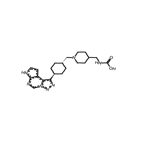 O=C(O)NCC1CCN(C[C@H]2CC[C@H](c3nnn4cnc5[nH]ccc5c34)CC2)CC1